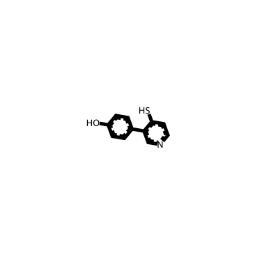 Oc1ccc(-c2cnccc2S)cc1